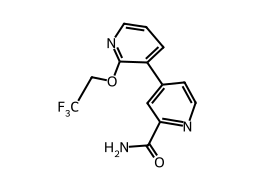 NC(=O)c1cc(-c2cccnc2OCC(F)(F)F)ccn1